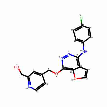 OCc1cc(COc2nnc(Nc3ccc(Cl)cc3)c3ccoc23)ccn1